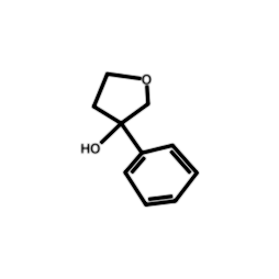 OC1(c2ccccc2)CCOC1